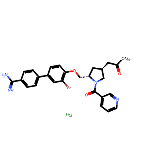 COC(=O)C[C@@H]1C[C@@H](COc2ccc(-c3ccc(C(=N)N)cc3)cc2Br)N(C(=O)c2cccnc2)C1.Cl